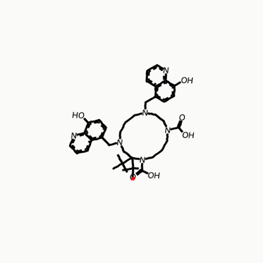 CC(C)(C)C1(C(C)(C)C)CN(Cc2ccc(O)c3ncccc23)CCCN(Cc2ccc(O)c3ncccc23)CCN(C(=O)O)CCCN1C(=O)O